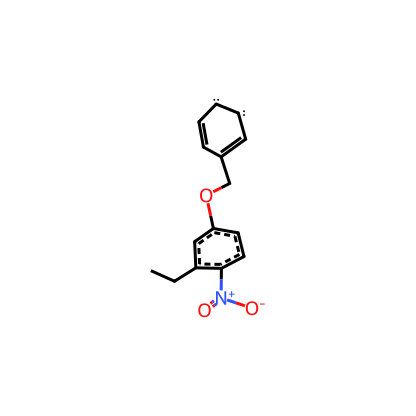 CCc1cc(OCC2=C[C][C]C=C2)ccc1[N+](=O)[O-]